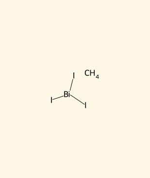 C.[I][Bi]([I])[I]